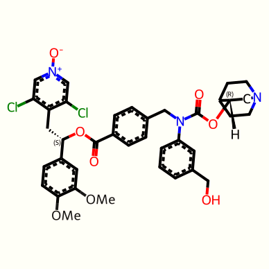 COc1ccc([C@H](Cc2c(Cl)c[n+]([O-])cc2Cl)OC(=O)c2ccc(CN(C(=O)O[C@H]3CN4CCC3CC4)c3cccc(CO)c3)cc2)cc1OC